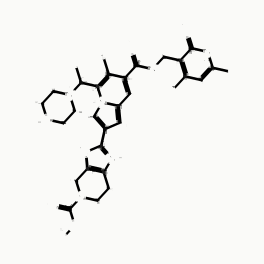 Cc1cc(C)c(CNC(=O)c2cc3cc(-c4nc5c(s4)CN(C(=O)OC(C)(C)C)CC5)cn3c(C(C)N3CCOCC3)c2C)c(=O)[nH]1